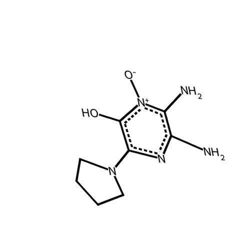 Nc1nc(N2CCCC2)c(O)[n+]([O-])c1N